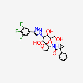 O=C(N[C@@H]1CCO[C@]12O[C@H](CO)[C@H](O)[C@H](n1cc(-c3cc(F)c(F)c(F)c3)nn1)[C@H]2O)C1(c2ccccc2)CC1